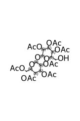 CC(=O)OC[C@H]1O[C@H](O[C@H]2O[C@H](CO)[C@@H](OC(C)=O)[C@H](OC(C)=O)[C@H]2OC(C)=O)[C@H](OC(C)=O)[C@@H](OC(C)=O)[C@@H]1OC(C)=O